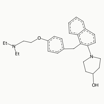 CCN(CC)CCOc1ccc(Cc2c(N3CCC(O)CC3)ccc3ccccc23)cc1